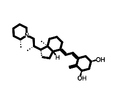 C=C1/C(=C\C=C2/CCC[C@]3(C)[C@@H]([C@H](C)CN4CCCC[C@H]4C)CC[C@@H]23)C[C@@H](O)C[C@H]1O